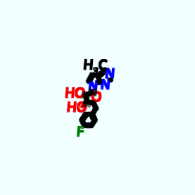 Cc1ncnc2c1ccn2[C@H]1OC(Cc2ccc(F)cc2)[C@@H](O)[C@H]1O